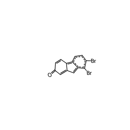 O=C1C=CC2=c3ccc(Br)c(Br)c3=CC2=C1